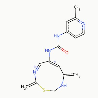 C=C1/C=C(NC(=O)Nc2ccnc(C(F)(F)F)c2)\C=N/C(=C)SCN1